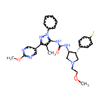 COCCN1C[C@@H](NC(=O)Nc2c(C)c(-c3cnc(OC)nc3)nn2-c2ccccc2)[C@H](c2ccc(F)cc2)C1